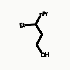 CCCC(CC)CCO